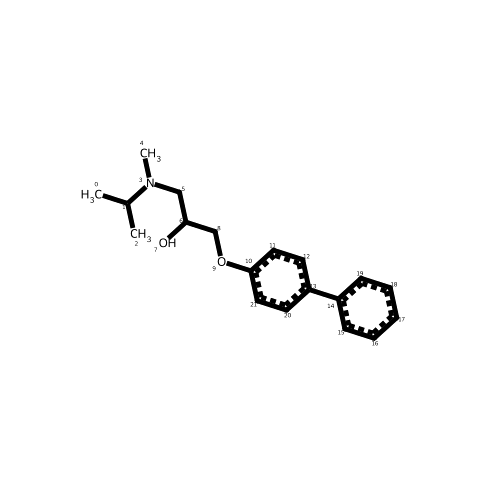 CC(C)N(C)CC(O)COc1ccc(-c2ccccc2)cc1